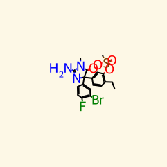 CCc1ccc(C2(c3ccc(F)c(Br)c3)N=C(N)N(C)C2=O)cc1OS(C)(=O)=O